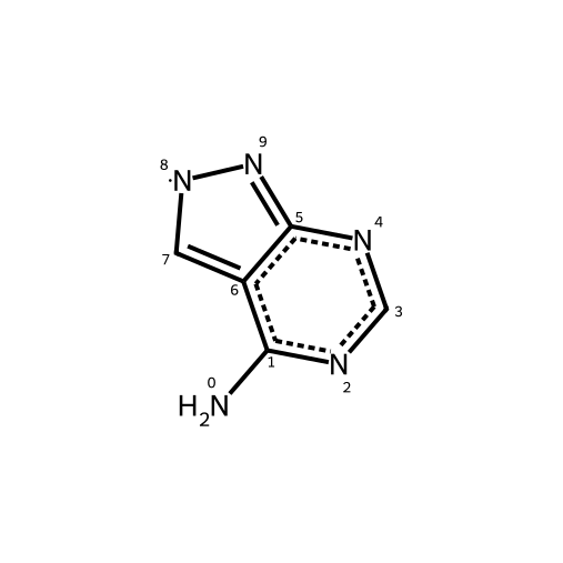 Nc1ncnc2c1=C[N]N=2